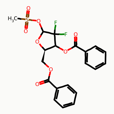 CS(=O)(=O)OC1O[C@H](COC(=O)c2ccccc2)C(OC(=O)c2ccccc2)C1(F)F